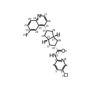 O=C(Nc1ccc(Cl)cn1)[C@@H]1C[C@@H]2C[C@H](c3ccnc4ccc(F)cc34)C[C@@H]2C1